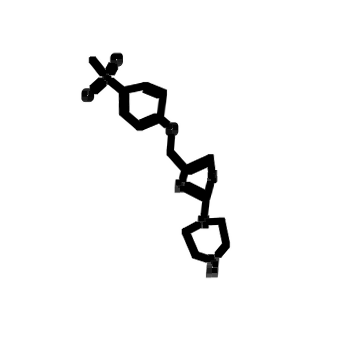 CS(=O)(=O)c1ccc(OCc2csc(N3CCNCC3)n2)cc1